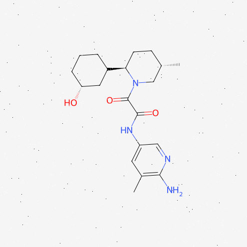 Cc1cc(NC(=O)C(=O)N2C[C@@H](C)CC[C@@H]2C2CCC[C@@H](O)C2)cnc1N